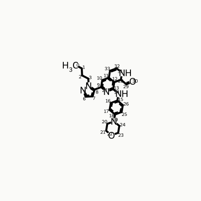 CCCCn1nccc1-c1cc2c(c(Nc3ccc(N4CCOCC4)cc3)n1)C(C=O)NC=C2